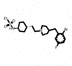 CCS(=O)(=O)N[C@H]1CC[C@H](CCN2CCC(Cc3cc(F)ccc3Br)CC2)CC1